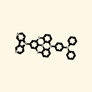 c1ccc(N(c2ccccc2)c2ccc(N3c4cccc5c4B4c6c(cc(-n7c8ccncc8c8cnccc87)cc6Sc6cccc3c64)S5)cc2)cc1